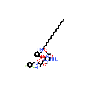 C=C(C(=O)NCc1ccc(F)cc1F)C(=O)/C(OC(=O)c1ccccc1CNC(=O)CCCCCCCCCCCCCCCCC)=C1/C(O)N2[C@@H](C)CO[C@]2(N)CN1C